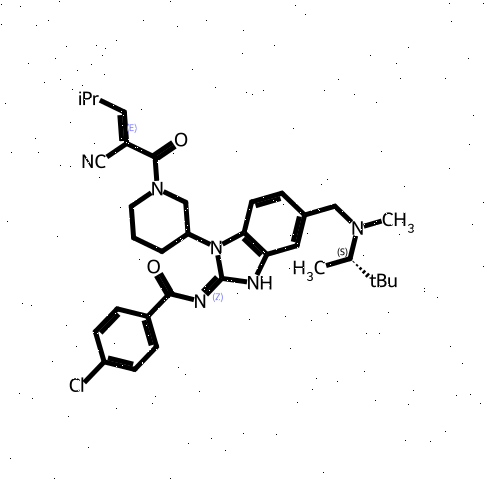 CC(C)/C=C(\C#N)C(=O)N1CCCC(n2/c(=N\C(=O)c3ccc(Cl)cc3)[nH]c3cc(CN(C)[C@@H](C)C(C)(C)C)ccc32)C1